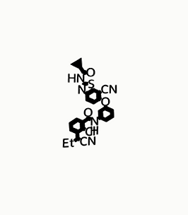 CCC(C#N)c1cccc(C(=O)Nc2cccc(Oc3ccc4nc(NC(=O)C5CC5)sc4c3C#N)c2)c1Cl